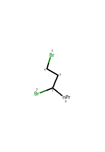 CCCC(Br)CCBr